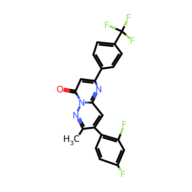 Cc1nn2c(=O)cc(-c3ccc(C(F)(F)F)cc3)nc2cc1-c1ccc(F)cc1F